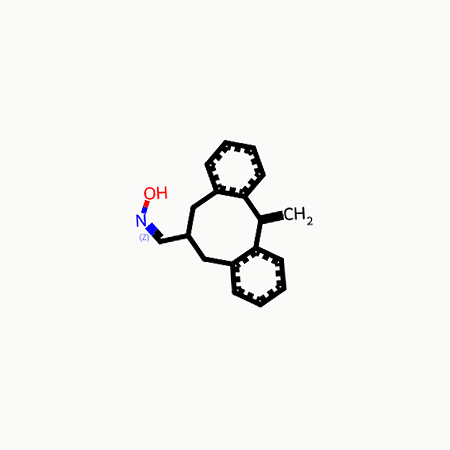 C=C1c2ccccc2CC(/C=N\O)Cc2ccccc21